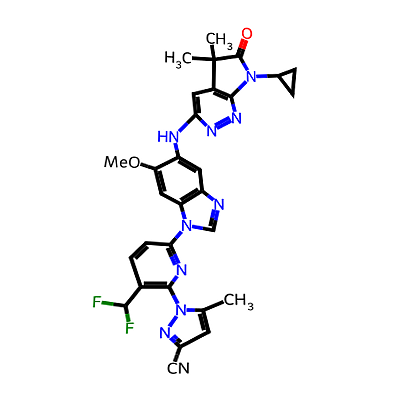 COc1cc2c(cc1Nc1cc3c(nn1)N(C1CC1)C(=O)C3(C)C)ncn2-c1ccc(C(F)F)c(-n2nc(C#N)cc2C)n1